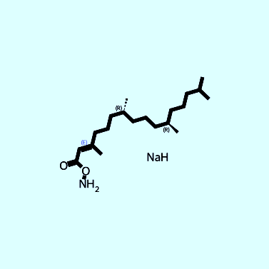 C/C(=C\C(=O)ON)CCC[C@H](C)CCC[C@H](C)CCCC(C)C.[NaH]